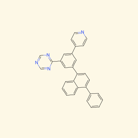 c1ccc(-c2ccc(-c3cc(-c4ccncc4)cc(-c4ncncn4)c3)c3ccccc23)cc1